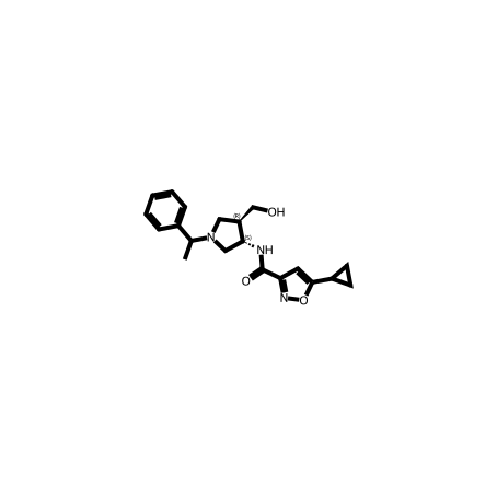 CC(c1ccccc1)N1C[C@@H](CO)[C@H](NC(=O)c2cc(C3CC3)on2)C1